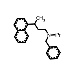 CC(CCN(Cc1ccccc1)C(C)C)c1cccc2ccccc12